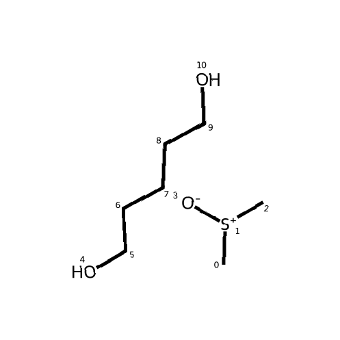 C[S+](C)[O-].OCCCCCO